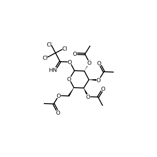 CC(=O)OC[C@H]1OC(OC(=N)C(Cl)(Cl)Cl)[C@H](OC(C)=O)[C@@H](OC(C)=O)[C@H]1OC(C)=O